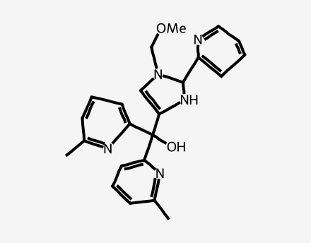 COCN1C=C(C(O)(c2cccc(C)n2)c2cccc(C)n2)NC1c1ccccn1